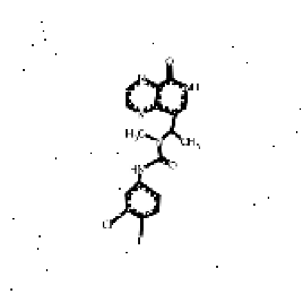 CC(c1c[nH]c(=O)c2nccnc12)N(C)C(=O)Nc1ccc(F)c(Cl)c1